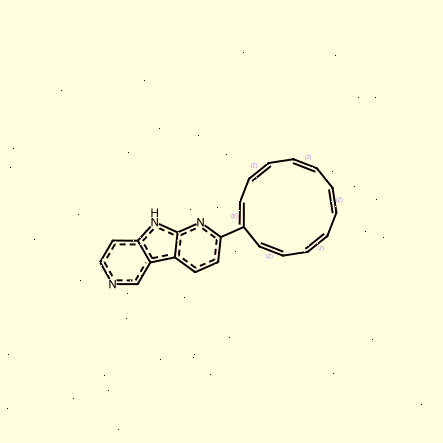 C1=C\C=C/C=C\C(c2ccc3c(n2)[nH]c2ccncc23)=C/C=C\C=C/1